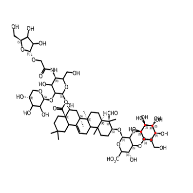 CC1(C)CC[C@]2(C(=O)O[C@@H]3OC(CO)[C@H](NC(=O)CO[C@@H]4O[C@@H](CO)C(O)C4O)C(O)C3O[C@@H]3OC[C@@H](O)C(O)C3O)C(O)C[C@]3(C)C(=CCC4C5(C)CC[C@H](O[C@@H]6OC(C(=O)O)[C@@H](O)[C@H](O[C@@H]7OC[C@@H](O)[C@H](O)C7O)C6O[C@@H]6OC(CO)[C@H](O)[C@H](O)C6O)[C@](C)(C=O)[C@@H]5CC[C@@]43C)C2C1